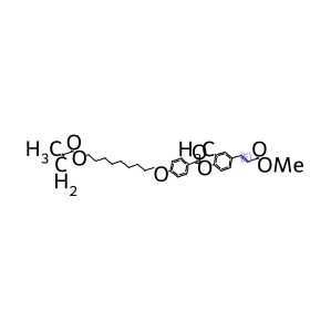 C=C(C)C(=O)OCCCCCCCCCOc1ccc(C(=O)Oc2ccc(/C=C/C(=O)OC)cc2C)cc1